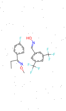 CCC(=NOC)c1ccc(F)cc1.ON=Cc1cc(C(F)(F)F)cc(C(F)(F)F)c1